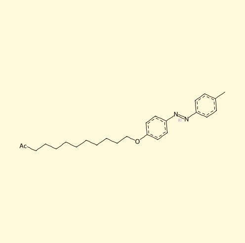 CC(=O)CCCCCCCCCCOc1ccc(/N=N/c2ccc(C)cc2)cc1